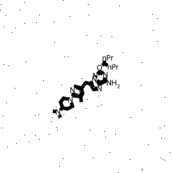 CCCC(CCC)Oc1nc(N)c2ncc(Cc3cnc(N4CCC(N(C)C)CC4)c(C)c3)n2n1